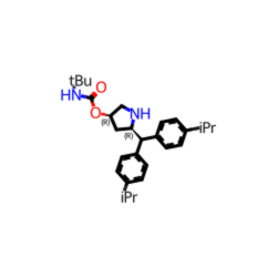 CC(C)c1ccc(C(c2ccc(C(C)C)cc2)[C@H]2C[C@@H](OC(=O)NC(C)(C)C)CN2)cc1